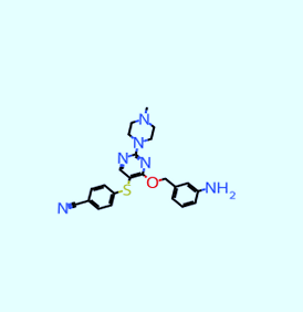 CN1CCN(c2ncc(Sc3ccc(C#N)cc3)c(OCc3cccc(N)c3)n2)CC1